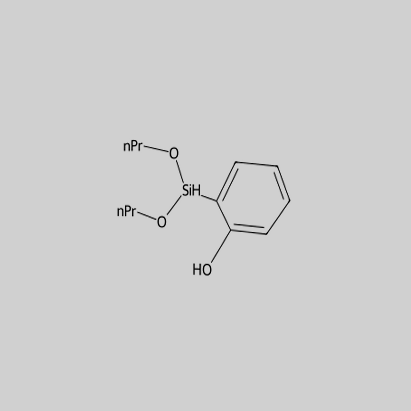 CCCO[SiH](OCCC)c1ccccc1O